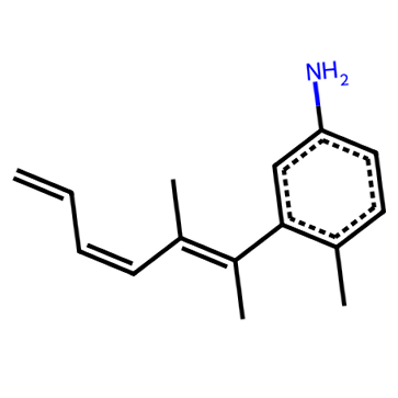 C=C/C=C\C(C)=C(/C)c1cc(N)ccc1C